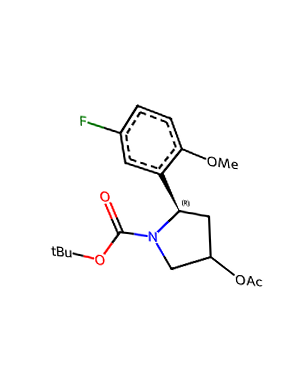 COc1ccc(F)cc1[C@H]1CC(OC(C)=O)CN1C(=O)OC(C)(C)C